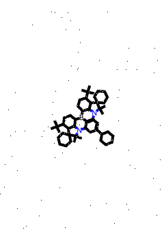 CC(C)(C)C1CCC2B3C4=C(C=C(C5CCCCC5)CC4N4C5C3CCC(C(C)(C)C)C5C3(CCCCC3)C4(C)C)N3C2C1C1(CCCCC1)C3(C)C